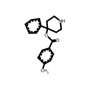 Cc1ccc(C(=O)OC2(c3ccccc3)CCNCC2)cc1